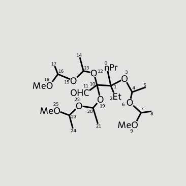 CCCC(CC)(OC(C)OC(C)OC)C(C=O)(OC(C)OC(C)OC)OC(C)OC(C)OC